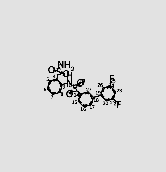 NS(=O)(=O)c1ccccc1NS(=O)(=O)c1cccc(-c2cc(F)cc(F)c2)c1